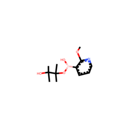 COc1ncccc1B(O)OC(C)(C)C(C)(C)O